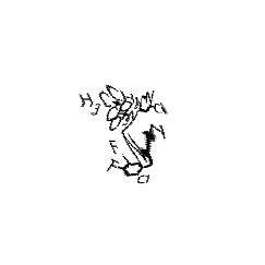 CC(C)(C)OC(=O)N(CCn1c(C#N)cc2c(Cl)cc(F)c(F)c21)c1cc(Cl)ncn1